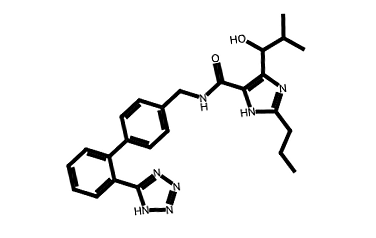 CCCc1nc(C(O)C(C)C)c(C(=O)NCc2ccc(-c3ccccc3-c3nnn[nH]3)cc2)[nH]1